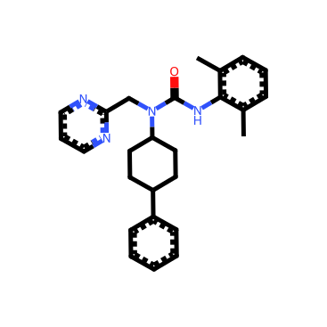 Cc1cccc(C)c1NC(=O)N(Cc1ncccn1)C1CCC(c2ccccc2)CC1